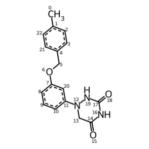 Cc1ccc(COc2cccc(N3CC(=O)NC(=O)N3)c2)cc1